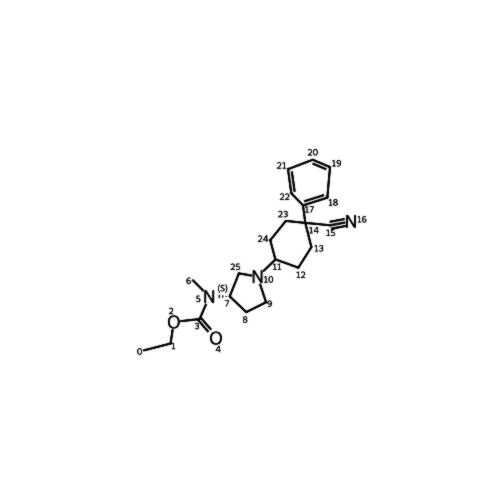 CCOC(=O)N(C)[C@H]1CCN(C2CCC(C#N)(c3ccccc3)CC2)C1